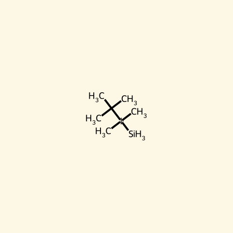 CC(C)(C)[I](C)(C)[SiH3]